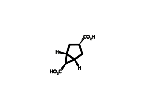 O=C(O)[C@H]1C[C@@H]2[C@H](C1)[C@H]2C(=O)O